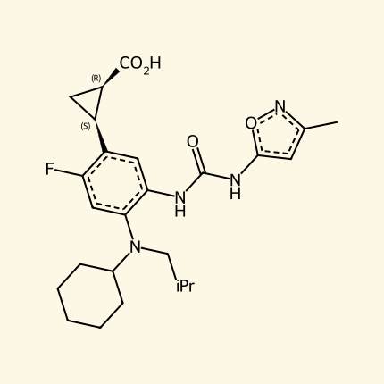 Cc1cc(NC(=O)Nc2cc([C@H]3C[C@H]3C(=O)O)c(F)cc2N(CC(C)C)C2CCCCC2)on1